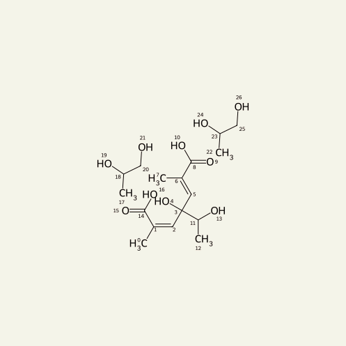 CC(=CC(O)(C=C(C)C(=O)O)C(C)O)C(=O)O.CC(O)CO.CC(O)CO